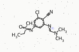 CCS(C)(=O)=Nc1cc(Cl)c(C#N)c(/N=C/N(C)C)c1